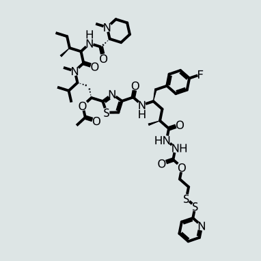 CC[C@H](C)C(NC(=O)[C@H]1CCCCN1C)C(=O)N(C)[C@H](C[C@@H](OC(C)=O)c1nc(C(=O)N[C@@H](Cc2ccc(F)cc2)C[C@H](C)C(=O)NNC(=O)OCCSSc2ccccn2)cs1)C(C)C